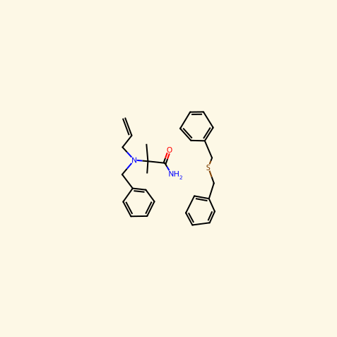 C=CCN(Cc1ccccc1)C(C)(C)C(N)=O.c1ccc(CSCc2ccccc2)cc1